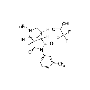 CCCN1C[C@@H]2CC[C@H]1[C@H]1C(=O)N(c3cccc(C(F)(F)F)c3)C(=O)[C@@H]21.O=C(O)C(F)(F)F